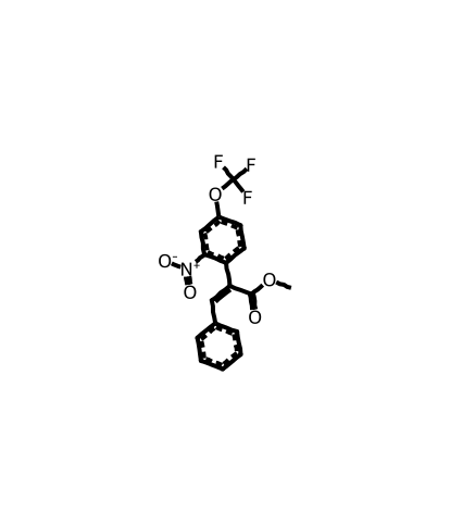 COC(=O)/C(=C\c1ccccc1)c1ccc(OC(F)(F)F)cc1[N+](=O)[O-]